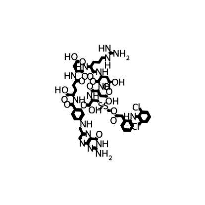 N=C(N)NCCCC(NC(=O)C(CC(=O)O)NC(=O)CCC(NC(=O)c1ccc(NCc2cnc3nc(N)[nH]c(=O)c3n2)cc1)C(=O)O)C(=O)NC(CC(=O)O)C(=O)NC(CC(=O)O)C(=O)NC(CSSCOC(=O)Cc1ccccc1Nc1c(Cl)cccc1Cl)C(=O)O